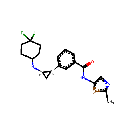 Cc1ncc(NC(=O)c2cccc([C@@H]3C[C@H]3NC3CCC(F)(F)CC3)c2)s1